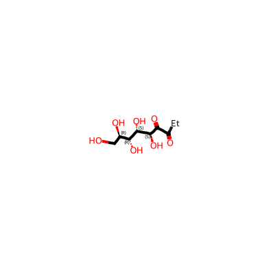 CCC(=O)C(=O)[C@@H](O)[C@@H](O)[C@H](O)[C@H](O)CO